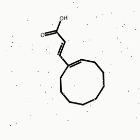 O=C(O)C=C/C1=C/CCCCCCCC1